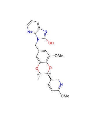 COc1ccc([C@@H]2Oc3c(OC)cc(Cn4c(O)nc5cccnc54)cc3O[C@H]2C)cn1